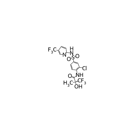 C[C@@](O)(C(=O)Nc1ccc(S(=O)(=O)Nc2ccc(C(F)(F)F)cn2)cc1Cl)C(F)(F)F